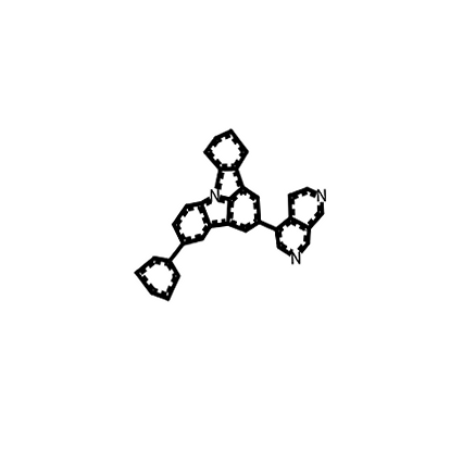 c1ccc(-c2ccc3c(c2)c2cc(-c4cncc5cnccc45)cc4c5ccccc5n3c42)cc1